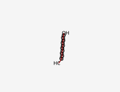 C#CC#CC#CC#CC#CC#COC(=O)CCCCCOC(=O)CCCCCOC(=O)CCCCCOC(=O)CCCCCOC(=O)CCCCCOC(=O)CCCCCOC(=O)CCCCCOC(=O)CCCCCOC(=O)CCCCCOC(=O)CCCCCO